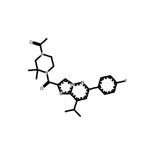 CC(=O)N1CCN(C(=O)c2cn3nc(-c4ccc(F)cc4)cc(C(C)C)c3n2)C(C)(C)C1